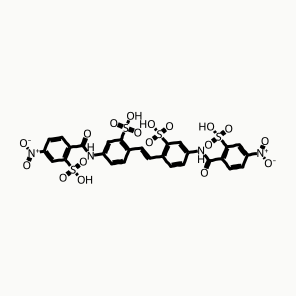 O=C(Nc1ccc(C=Cc2ccc(NC(=O)c3ccc([N+](=O)[O-])cc3S(=O)(=O)O)cc2S(=O)(=O)O)c(S(=O)(=O)O)c1)c1ccc([N+](=O)[O-])cc1S(=O)(=O)O